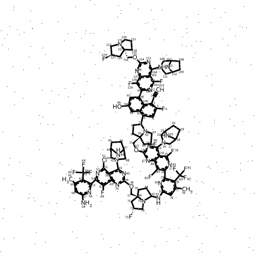 C#Cc1c(F)cc(C2CC[C@@]3(COc4nc(N5CC6CCC(C5)N6)c5c(F)nc(-c6nc(NC7CC[C@@]8(COc9nc(N%10CC%11CCC(C%10)N%11)c%10c(Cl)nc(-c%11nc(N)cc(C)c%11C(F)(F)F)c(F)c%10n9)C[C@@H](F)CN78)cc(C)c6C(F)(F)F)c(F)c5n4)C[C@@H](F)CN23)c2cc(O)cc(-c3nc(F)c4c(N5CC6CCC(C5)N6)nc(OC[C@@]56CCCN5C[C@H](F)C6)nc4c3F)c12